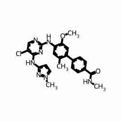 CNC(=O)c1ccc(-c2cc(OC)c(Nc3ncc(Cl)c(Nc4ccn(C)n4)n3)cc2C)cc1